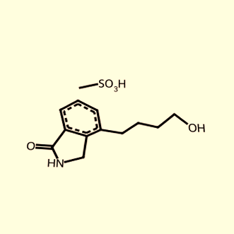 CS(=O)(=O)O.O=C1NCc2c(CCCCO)cccc21